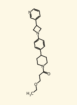 CCOCCC(=O)N1CCC(c2ccc(N3CC(c4cccnc4)C3)cc2)CC1